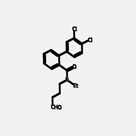 CCN(CCCC=O)C(=O)c1ccccc1-c1ccc(Cl)c(Cl)c1